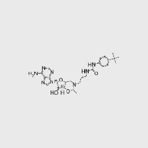 CC1O[C@@H]2C(CN1CCCNC(=O)Nc1ccc(C(C)(C)C)cc1)O[C@@H](n1cnc3c(N)ncnc31)[C@@H]2O